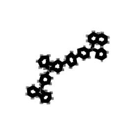 c1ccc(N(c2ccc(-c3ccc(-c4ccc5c(c4)c4ccccc4n5-c4ccc(-n5c6ccccc6c6ccccc65)cc4)cc3)cc2)c2cccc3ccccc23)cc1